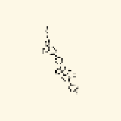 C=CCCCOc1ccc(-c2ccc(OC(=O)c3ccc(-c4ccc(C)cc4)c(F)c3F)cc2)cc1F